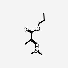 CCCOC(=O)C(C)=C[SiH](C)C